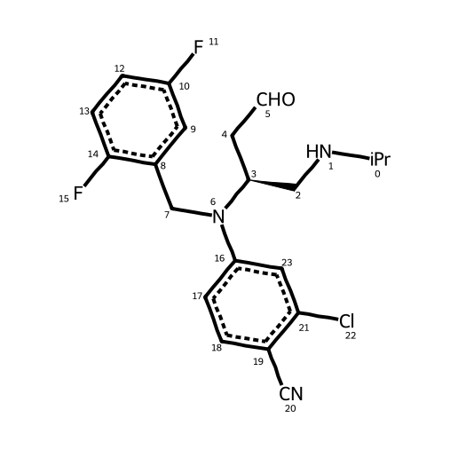 CC(C)NC[C@H](CC=O)N(Cc1cc(F)ccc1F)c1ccc(C#N)c(Cl)c1